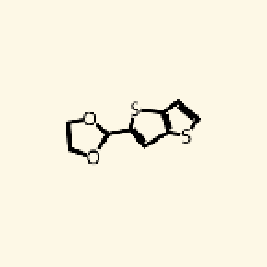 c1cc2sc(C3OCCO3)cc2s1